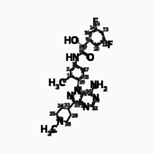 Cc1cc(NC(=O)[C@H](O)c2cc(F)cc(F)c2)ccc1-n1nc(C2CCN(C)CC2)c2ncnc(N)c21